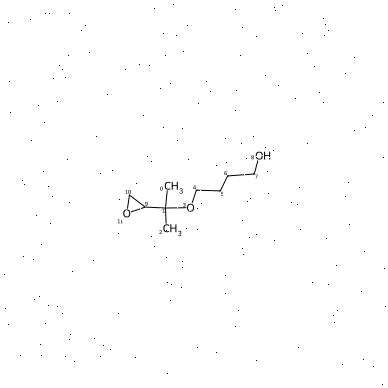 CC(C)(OCCCCO)C1CO1